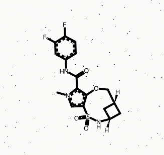 Cn1cc2c(c1C(=O)Nc1ccc(F)c(F)c1)OC[C@H]1C[C@H](C1)NS2(=O)=O